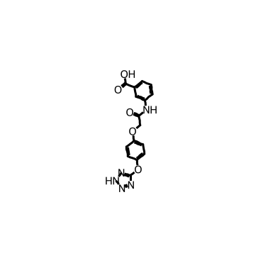 O=C(COc1ccc(Oc2nn[nH]n2)cc1)Nc1cccc(C(=O)O)c1